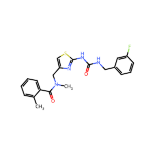 Cc1ccccc1C(=O)N(C)Cc1csc(NC(=O)NCc2cccc(F)c2)n1